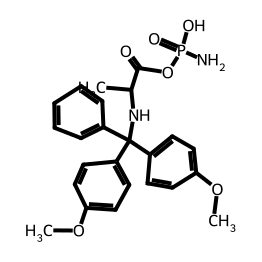 COc1ccc(C(NC(C)C(=O)OP(N)(=O)O)(c2ccccc2)c2ccc(OC)cc2)cc1